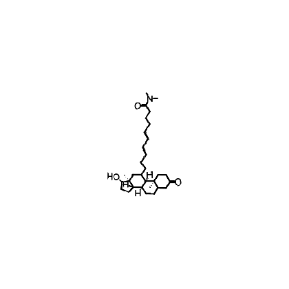 CN(C)C(=O)CCCCCCCCCC1C[C@]2(C)C(O)CC[C@H]2[C@@H]2CCC3CC(=O)CC[C@]3(C)[C@H]12